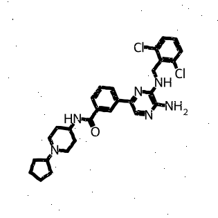 Nc1ncc(-c2cccc(C(=O)NC3CCN(C4CCCC4)CC3)c2)nc1NCc1c(Cl)cccc1Cl